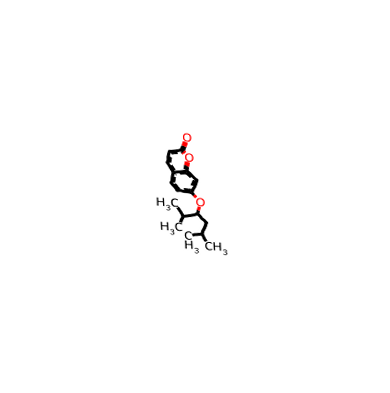 CC(C)CC(Oc1ccc2ccc(=O)oc2c1)C(C)C